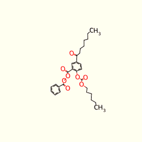 CCCCCCCC(=O)c1ccc(OC(=O)OCCCCCC)c(C(=O)OOC(=O)c2ccccc2)c1